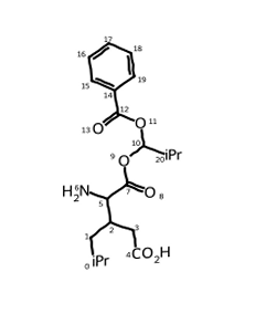 CC(C)CC(CC(=O)O)C(N)C(=O)OC(OC(=O)c1ccccc1)C(C)C